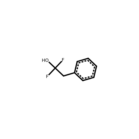 OC(F)(F)Cc1ccccc1